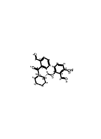 O=Cc1ccccc1C(=O)N1CCCC[C@H]1COc1cccc(O)c1C=O